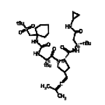 CCCC[C@@H](CC(=O)NC1CC1)NC(=O)[C@@H]1CC(C=C=C(C)C)CN1C(=O)[C@@H](NC(=O)NC1(CS(=O)(=O)C(C)(C)C)CCCCC1)C(C)(C)C